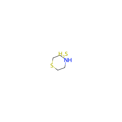 C1CSCCN1.S